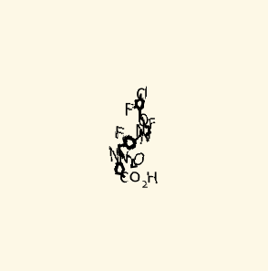 O=C(O)c1ccc2nc(Cc3ccc(-c4ncc(F)c(OCc5ccc(Cl)cc5F)n4)cc3F)n(C[C@@H]3CCO3)c2c1